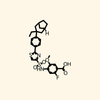 CCC1(c2ccc(-c3nc(S(=O)(=O)Nc4cc(F)c(C(=O)O)cc4OC)cs3)cc2)CC2CC[C@@H](C2)C1